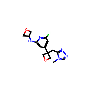 Cn1cnnc1CC1(c2cc(Cl)nc(NC3COC3)c2)COC1